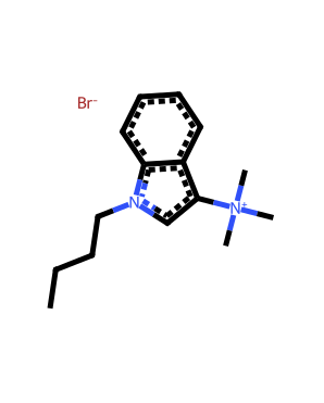 CCCCn1cc([N+](C)(C)C)c2ccccc21.[Br-]